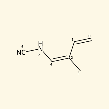 C=CC(C)=CNC#N